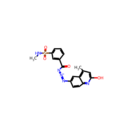 CNS(=O)(=O)c1cccc(C(=O)N=[N+]=Nc2ccc3nc(O)cc(C)c3c2)c1